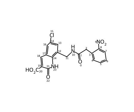 O=C(Cc1ccccc1[N+](=O)[O-])NCc1cc(Cl)cc2cc(C(=O)O)c(=O)[nH]c12